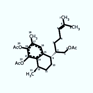 CC(=O)OCC(CCC=C(C)C)[C@@H]1CC[C@@H](C)c2c1cc(C)c(OC(C)=O)c2OC(C)=O